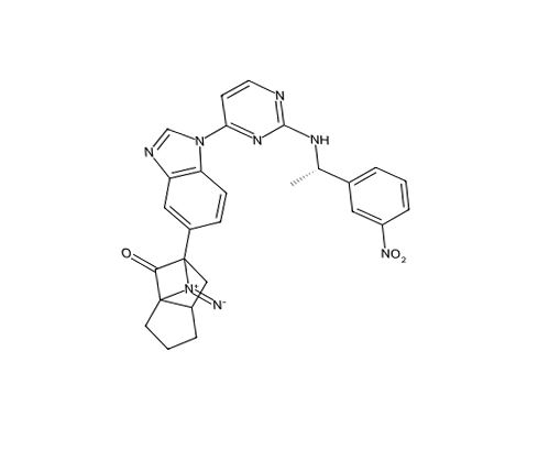 C[C@H](Nc1nccc(-n2cnc3cc(C45CC6CCCC6(C4=O)[N+]5=[N-])ccc32)n1)c1cccc([N+](=O)[O-])c1